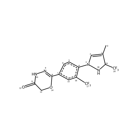 CC1=CN(c2ccc(C3=NNC(=O)CO3)cc2C(F)(F)F)NC1C(F)(F)F